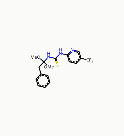 COC(Cc1ccccc1)(NC(=S)Nc1ccc(C(F)(F)F)cn1)OC